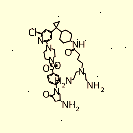 NCCN(CCN)CCCC(=O)NC1CCC(C2(c3cc(Cl)nc(N4CCN(S(=O)(=O)c5ccc(N6C[C@H](N)CC6=O)cc5)CC4)c3)CC2)CC1